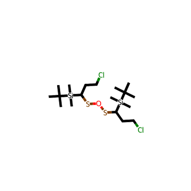 CC(C)(C)[Si](C)(C)C(CCCl)SOSC(CCCl)[Si](C)(C)C(C)(C)C